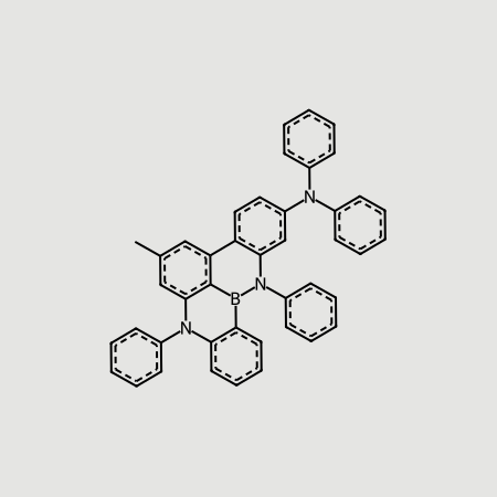 Cc1cc2c3c(c1)N(c1ccccc1)c1ccccc1B3N(c1ccccc1)c1cc(N(c3ccccc3)c3ccccc3)ccc1-2